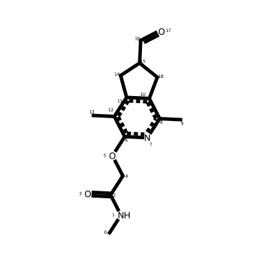 CNC(=O)COc1nc(C)c2c(c1C)CC(C=O)C2